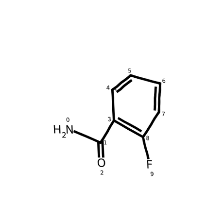 NC(=O)c1[c]cccc1F